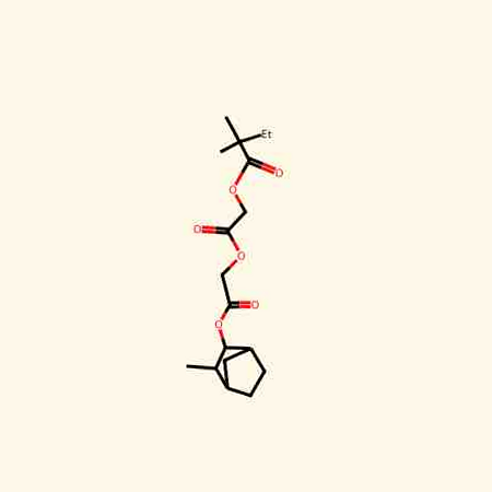 CCC(C)(C)C(=O)OCC(=O)OCC(=O)OC1C2CCC(C2)C1C